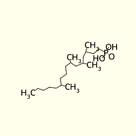 CCCCCC(C)CCCC(C)CC(C)CC(C)CCP(=O)(O)O